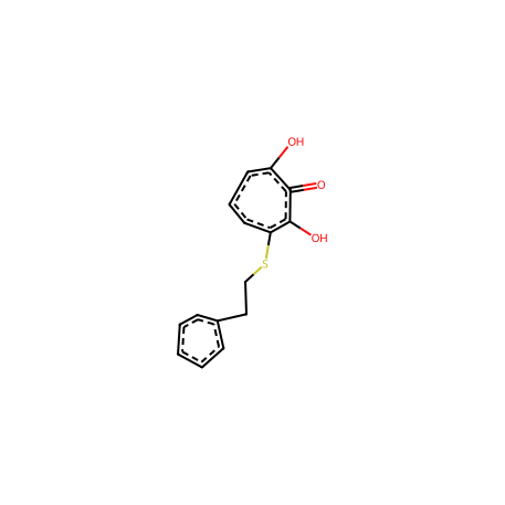 O=c1c(O)cccc(SCCc2ccccc2)c1O